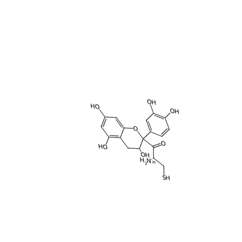 N[C@@H](CS)C(=O)C1(c2ccc(O)c(O)c2)Oc2cc(O)cc(O)c2CC1O